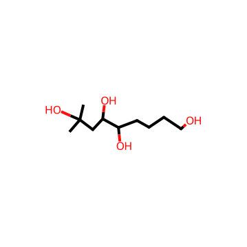 CC(C)(O)CC(O)C(O)CCCCO